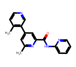 Cc1cc(-c2cnccc2C)cc(C(=O)Nc2ccccn2)n1